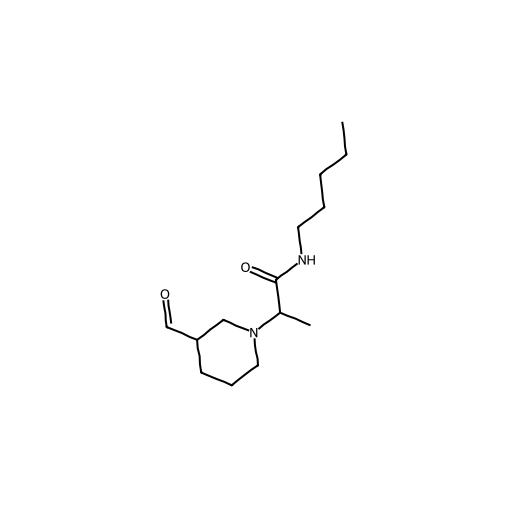 CCCCCNC(=O)C(C)N1CCCC(C=O)C1